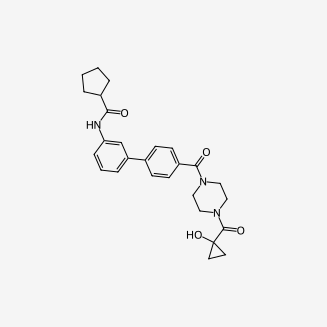 O=C(Nc1cccc(-c2ccc(C(=O)N3CCN(C(=O)C4(O)CC4)CC3)cc2)c1)C1CCCC1